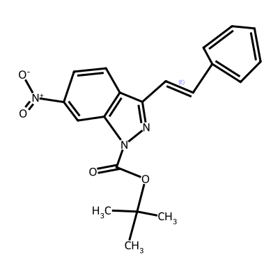 CC(C)(C)OC(=O)n1nc(/C=C/c2ccccc2)c2ccc([N+](=O)[O-])cc21